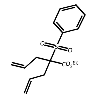 C=CCC(CC=C)(C(=O)OCC)S(=O)(=O)c1ccccc1